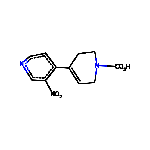 O=C(O)N1CC=C(c2ccncc2[N+](=O)[O-])CC1